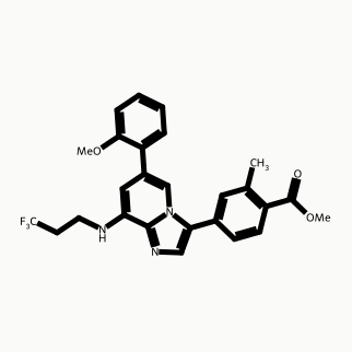 COC(=O)c1ccc(-c2cnc3c(NCCC(F)(F)F)cc(-c4ccccc4OC)cn23)cc1C